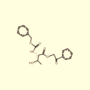 CC(O)[C@H](NC(=O)OCc1ccccc1)C(=O)OCC(=O)c1ccccc1